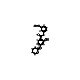 COc1cccc(CC(=O)c2ccc(OC3CCCCO3)cc2O)c1